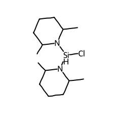 CC1CCCC(C)N1[SiH](Cl)N1C(C)CCCC1C